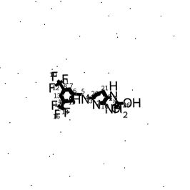 Nc1nc(NCc2cc(C(F)(F)F)cc(C(F)(F)F)c2)ccc1NC(=O)O